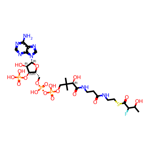 CC(O)C(F)C(=O)SCCNC(=O)CCNC(=O)[C@H](O)C(C)(C)COP(=O)(O)OP(=O)(O)OC[C@H]1O[C@@H](n2cnc3c(N)ncnc32)[C@H](O)[C@@H]1OP(=O)(O)O